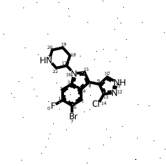 Fc1cc2c(cc1Br)c(-c1c[nH]nc1Cl)cn2C1CCCNC1